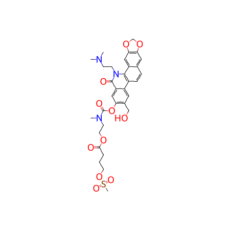 CN(C)CCn1c(=O)c2cc(OC(=O)N(C)CCOC(=O)CCCOS(C)(=O)=O)c(CO)cc2c2ccc3cc4c(cc3c21)OCO4